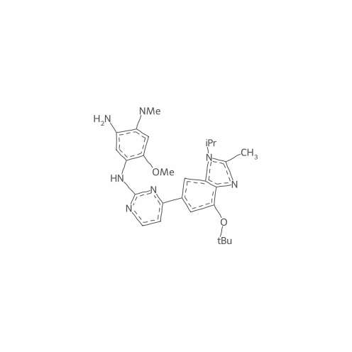 CNc1cc(OC)c(Nc2nccc(-c3cc(OC(C)(C)C)c4nc(C)n(C(C)C)c4c3)n2)cc1N